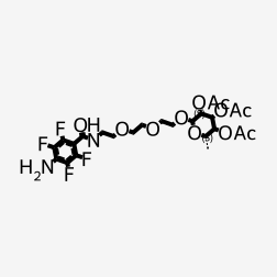 CC(=O)OC1C(OC(C)=O)[C@H](C)OC(OCCOCCOCCNC(=O)c2c(F)c(F)c(N)c(F)c2F)[C@H]1OC(C)=O